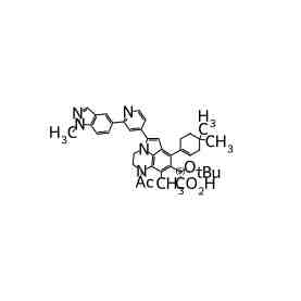 CC(=O)N1CCn2c(-c3ccnc(-c4ccc5c(cnn5C)c4)c3)cc3c(C4=CCC(C)(C)CC4)c([C@H](OC(C)(C)C)C(=O)O)c(C)c1c32